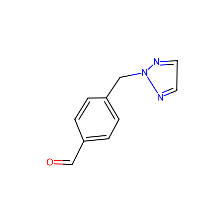 O=Cc1ccc(Cn2nccn2)cc1